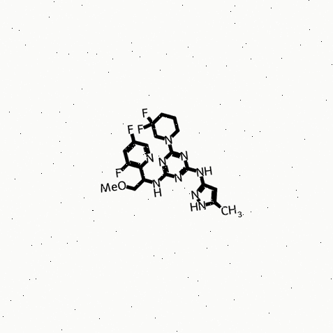 COCC(Nc1nc(Nc2cc(C)[nH]n2)nc(N2CCCC(F)(F)C2)n1)c1ncc(F)cc1F